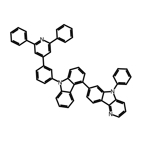 c1ccc(-c2cc(-c3cccc(-n4c5ccccc5c5c(-c6ccc7c8ncccc8n(-c8ccccc8)c7c6)cccc54)c3)cc(-c3ccccc3)n2)cc1